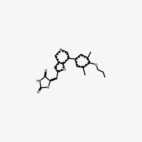 CCCOc1c(C)cc(-c2cncc3cc(/C=C4/SC(=O)NC4=O)oc23)cc1C